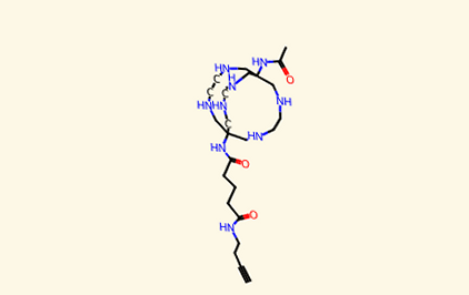 C#CCCNC(=O)CCCC(=O)NC12CNCCNCC(NC(C)=O)(CNCCNC1)CNCCNC2